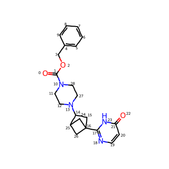 O=C(OCc1ccccc1)N1CCN(C2CC3(c4nccc(=O)[nH]4)CC2C3)CC1